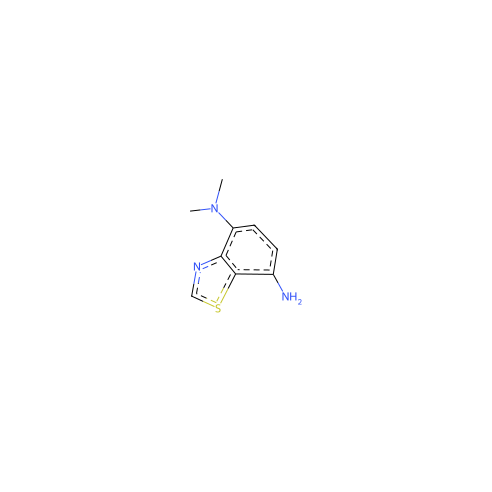 CN(C)c1ccc(N)c2scnc12